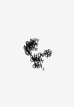 CC[C@H](C)[C@@H]([C@@H](CC(=O)N1CCC[C@H]1[C@H](OC)[C@@H](C)C(=O)N[C@@H](Cc1ccccc1)C(=O)N(C)Cc1ccc(NC(=O)[C@H](CCCNC(N)=O)NC(=O)[C@@H](NC(=O)CCC(=O)N2CCC(C(=O)Oc3c(F)c(F)c(F)c(F)c3F)CC2)C(C)C)cc1)OC)N(C)C(=O)[C@@H](NC(=O)[C@H](C(C)C)N(C)C)C(C)C